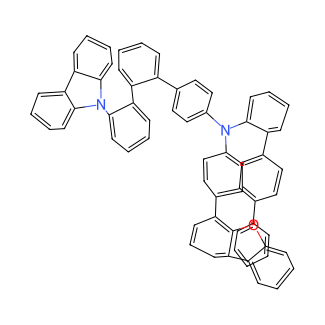 c1ccc(-c2ccc(-c3ccccc3N(c3ccc(-c4ccccc4-c4ccccc4-n4c5ccccc5c5ccccc54)cc3)c3ccc(-c4cccc5c4oc4ccccc45)cc3)cc2)cc1